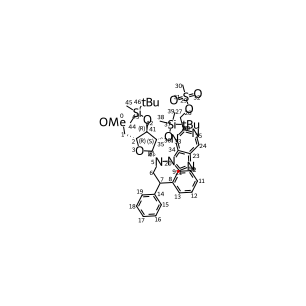 COC[C@H]1O[C@@H](N(CC(c2ccccc2)c2ccccc2)n2cnc3cnc(COS(C)(=O)=O)nc32)[C@@H](O[Si](C)(C)C(C)(C)C)[C@@H]1O[Si](C)(C)C(C)(C)C